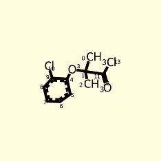 CC(C)(Oc1ccccc1Cl)C(=O)Cl